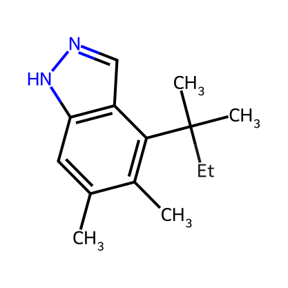 CCC(C)(C)c1c(C)c(C)cc2[nH]ncc12